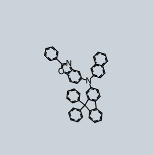 c1ccc(-c2nc3cc(N(c4ccc5c(c4)C(c4ccccc4)(c4ccccc4)c4ccccc4-5)c4ccc5ccccc5c4)ccc3o2)cc1